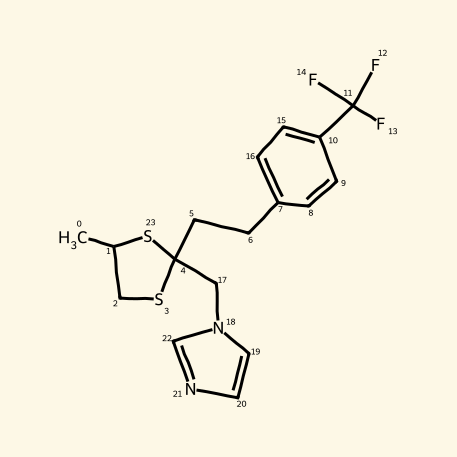 CC1CSC(CCc2ccc(C(F)(F)F)cc2)(Cn2ccnc2)S1